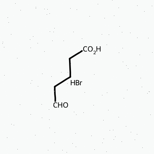 Br.O=CCCCC(=O)O